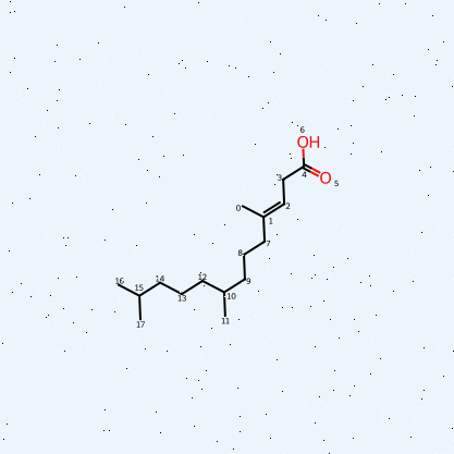 C/C(=C\CC(=O)O)CCCC(C)CCCC(C)C